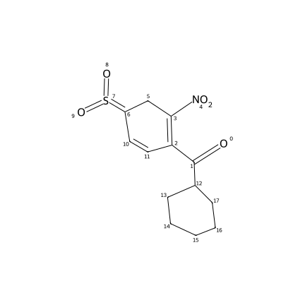 O=C(C1=C([N+](=O)[O-])CC(=S(=O)=O)C=C1)C1CCCCC1